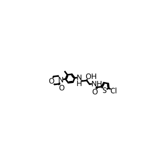 Cc1cc(NCC(O)CNC(=O)c2ccc(Cl)s2)ccc1N1CCOCC1=O